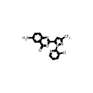 Nc1ccc2nc(-c3cc(C(F)(F)F)nn3-c3ncccc3Cl)oc(=O)c2c1